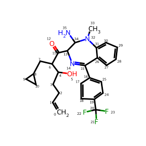 C=CCCC(O)C(CC1CC1)C(=O)C1N=C(c2ccc(C(F)(F)F)cc2)c2ccccc2N(C)C1N